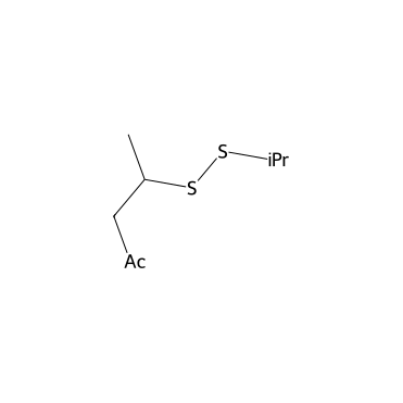 CC(=O)CC(C)SSC(C)C